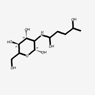 CC(O)CCC(O)NC1[C@H](O)OC(CO)[C@@H](O)[C@@H]1O